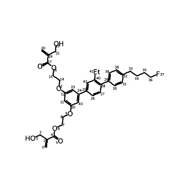 C=C(CO)C(=O)OCCOc1cc(OCCOC(=O)C(=C)CO)cc(-c2ccc(-c3ccc(CCCCF)cc3)c(CC)c2)c1